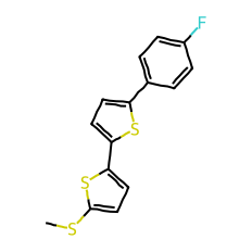 CSc1ccc(-c2ccc(-c3ccc(F)cc3)s2)s1